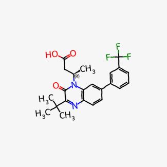 C[C@H](CC(=O)O)n1c(=O)c(C(C)(C)C)nc2ccc(-c3cccc(C(F)(F)F)c3)cc21